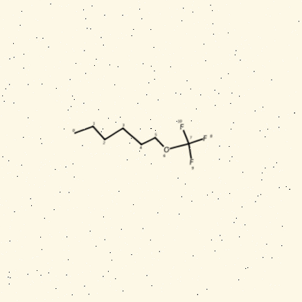 CCCCCCOC(F)(F)F